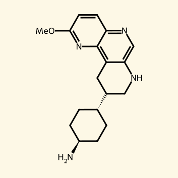 COc1ccc2ncc3c(c2n1)CC([C@H]1CC[C@H](N)CC1)CN3